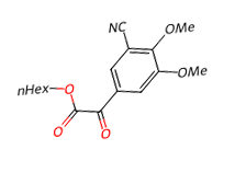 CCCCCCOC(=O)C(=O)c1cc(C#N)c(OC)c(OC)c1